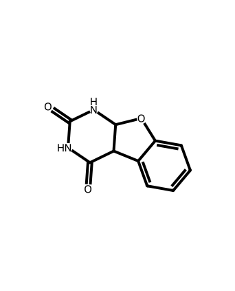 O=C1NC(=O)C2c3ccccc3OC2N1